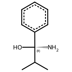 CC(C)[C@@](N)(O)c1ccccc1